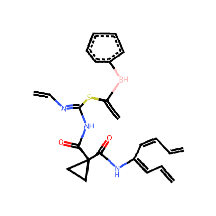 C=C/C=C\C(=C/C=C)NC(=O)C1(C(=O)N/C(=N/C=C)SC(=C)Bc2ccccc2)CC1